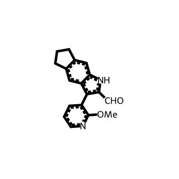 COc1ncccc1-c1c(C=O)[nH]c2cc3c(cc12)CCC3